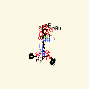 CCCCOC[C@H]1O[C@@](C)(C(F)(F)C(=O)NCCCC[C@H](NC(=O)OCc2ccccc2)C(=O)N[C@@H](C)C(=O)OCc2ccccc2)[C@H](OCCCC)[C@@H](OCCCC)[C@H]1OCCCC